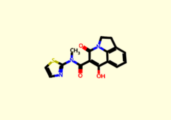 CN(C(=O)c1c(O)c2cccc3c2n(c1=O)CC3)c1nccs1